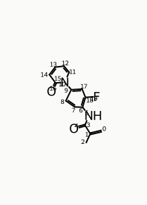 C=C(C)C(=O)Nc1ccc(-n2ccccc2=O)cc1F